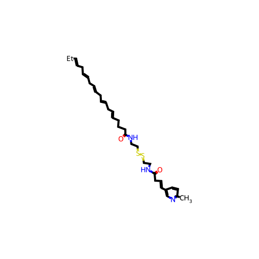 CCC=CCC=CCC=CCC=CCC=CCCCC(=O)NCCSSCCNC(=O)CC=Cc1ccc(C)nc1